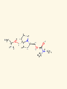 CC(C)OC[C@]12CCCN1[C@@H](COC(=O)N(C)C)CC2